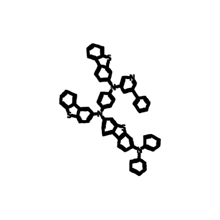 c1ccc(-c2cncc(N(c3ccc(N(c4ccc5c(c4)sc4cc(N(c6ccccc6)c6ccccc6)ccc45)c4ccc5sc6ccccc6c5c4)cc3)c3ccc4c(c3)sc3ccccc34)c2)cc1